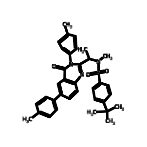 Cc1ccc(-c2ccc3nc(C(C)N(C)S(=O)(=O)c4ccc(C(C)(C)C)cc4)n(-c4ccc(C)cc4)c(=O)c3c2)cc1